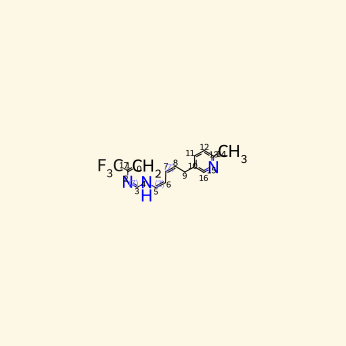 C=C(/N=C\N/C=C\C=C/Cc1ccc(C)nc1)C(F)(F)F